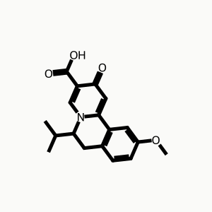 COc1ccc2c(c1)-c1cc(=O)c(C(=O)O)cn1C(C(C)C)C2